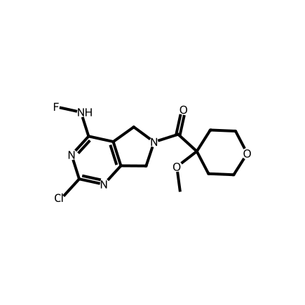 COC1(C(=O)N2Cc3nc(Cl)nc(NF)c3C2)CCOCC1